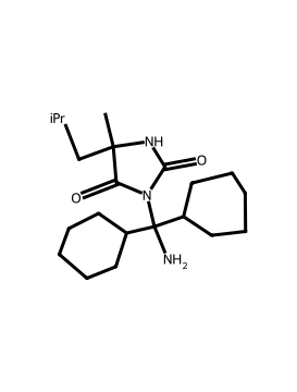 CC(C)CC1(C)NC(=O)N(C(N)(C2CCCCC2)C2CCCCC2)C1=O